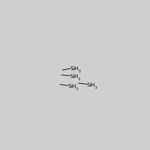 C[SiH3].C[SiH3].C[SiH3].C[SiH3]